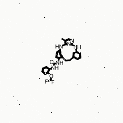 Cc1cnc2nc1Nc1ccc(NC(=O)Nc3ccccc3OC(F)F)c(c1)CCc1cccc(c1)N2